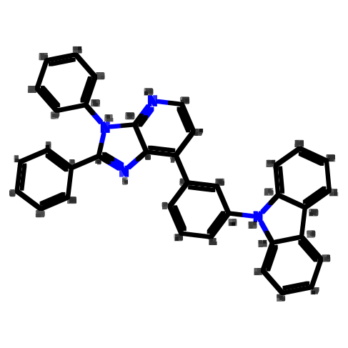 c1ccc(-c2nc3c(-c4cccc(-n5c6ccccc6c6ccccc65)c4)ccnc3n2-c2ccccc2)cc1